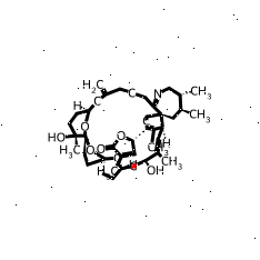 C=C1CCCC2=NC[C@H](C)[C@@H](C)C[C@@]23CCC([C@@H]2C=C(C)C(=O)O2)=C(C)[C@@H]3/C=C(\C)[C@@H](O)C[C@@H]2CC[C@@]3(CC[C@@]4(O[C@@H](CC[C@@]4(C)O)C1)O3)O2